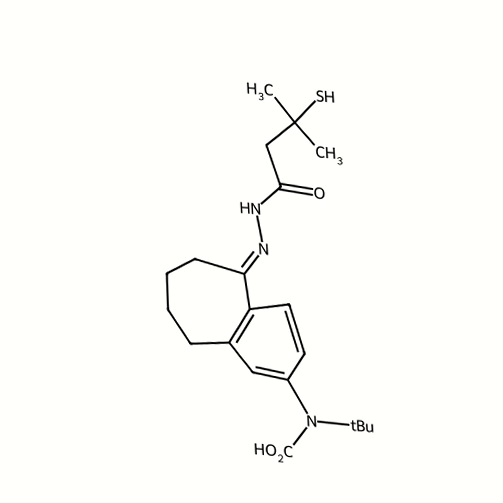 CC(C)(S)CC(=O)NN=C1CCCCc2cc(N(C(=O)O)C(C)(C)C)ccc21